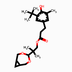 Cc1cc(CCC(=O)OCC(C)(C)C2OCC3CC3CO2)cc(C(C)(C)C)c1O